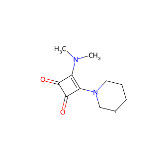 CN(C)c1c(N2C[CH]CCC2)c(=O)c1=O